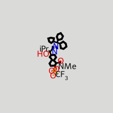 CNC(=O)c1c(OS(=O)(=O)C(F)(F)F)ccc2cc(C(O)(c3cn(C(c4ccccc4)(c4ccccc4)c4ccccc4)cn3)C(C)C)ccc12